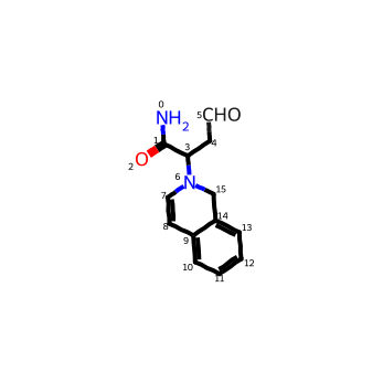 NC(=O)C(CC=O)N1C=Cc2ccccc2C1